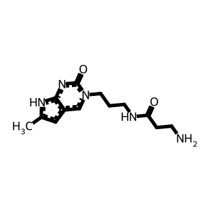 Cc1cc2cn(CCCNC(=O)CCN)c(=O)nc2[nH]1